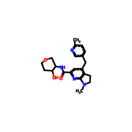 Cc1ccc(Cc2cc(C(=O)NC3COCCC3O)nc3c2CCN3C)cn1